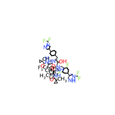 CC1(C(=O)N[C@H](C(=O)N[C@@H](Cc2ccc(-c3cnn(C(F)F)c3)cc2)[C@@H](O)CN(Cc2c(F)cc(/C(C=N)=C/NC(F)F)cc2F)NC(=O)[C@@H](NC(=O)C2(C)CC2)C(C)(C)C(F)(F)F)C(C)(C)C(F)(F)F)CC1